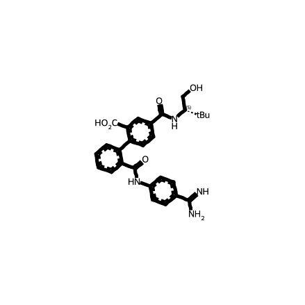 CC(C)(C)[C@@H](CO)NC(=O)c1ccc(-c2ccccc2C(=O)Nc2ccc(C(=N)N)cc2)c(C(=O)O)c1